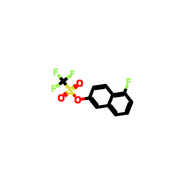 O=S(=O)(Oc1ccc2c(F)cccc2c1)C(F)(F)F